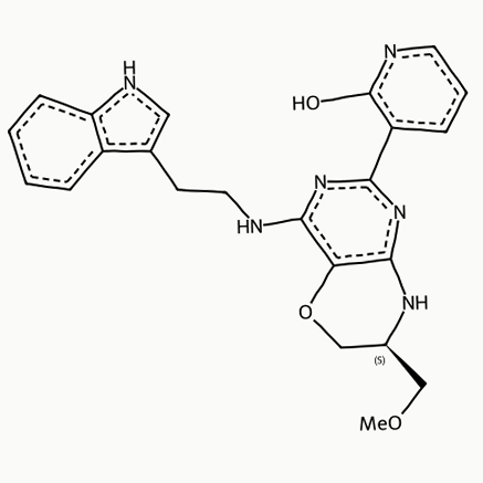 COC[C@H]1COc2c(NCCc3c[nH]c4ccccc34)nc(-c3cccnc3O)nc2N1